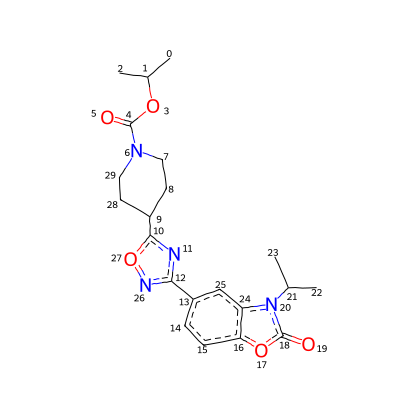 CC(C)OC(=O)N1CCC(c2nc(-c3ccc4oc(=O)n(C(C)C)c4c3)no2)CC1